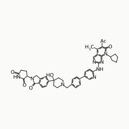 CC(=O)c1c(C)c2cnc(Nc3ccc(-c4ccc(CN5CCC(O)(c6ccc7c(c6)CN(C6CCC(=O)NC6=O)C7=O)CC5)cc4)cn3)nc2n(C2CCCC2)c1=O